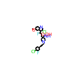 COc1ccc2ncc(Cl)c([C@H](F)CCC3(C(=O)NO)CCN(CC#Cc4ccc(Cl)c(F)c4)CC3)c2c1